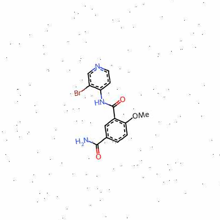 COc1ccc(C(N)=O)cc1C(=O)Nc1ccncc1Br